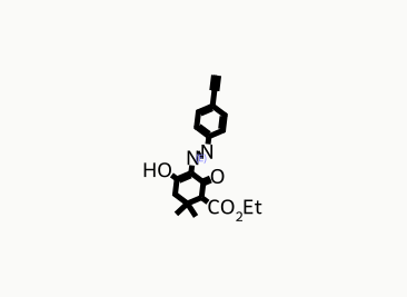 C#Cc1ccc(/N=N/C2=C(O)CC(C)(C)C(C(=O)OCC)C2=O)cc1